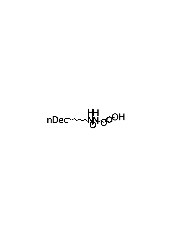 CCCCCCCCCCCCCCCCCCNC(=O)NCCOc1ccc(O)cc1